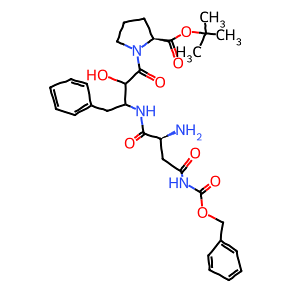 CC(C)(C)OC(=O)[C@@H]1CCCN1C(=O)C(O)C(Cc1ccccc1)NC(=O)[C@@H](N)CC(=O)NC(=O)OCc1ccccc1